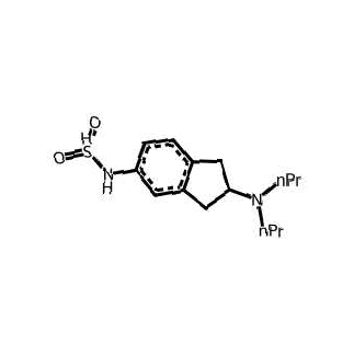 CCCN(CCC)C1Cc2ccc(N[SH](=O)=O)cc2C1